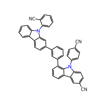 N#Cc1ccc(-n2c3ccc(C#N)cc3c3cccc(-c4cccc(-c5ccc6c7ccccc7n(-c7ccccc7C#N)c6c5)c4)c32)cc1